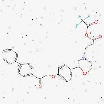 O=C(CCN1CCOC(c2ccc(OCC(=O)c3ccc(-c4ccccc4)cc3)cc2)C1)OC(=O)C(F)(F)F